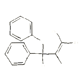 CC(=C(C(C)C)C(C)C)C(O)(Oc1ccccc1)c1ccccc1